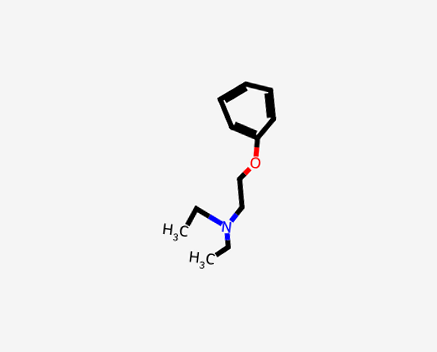 CCN(CC)CCOc1ccccc1